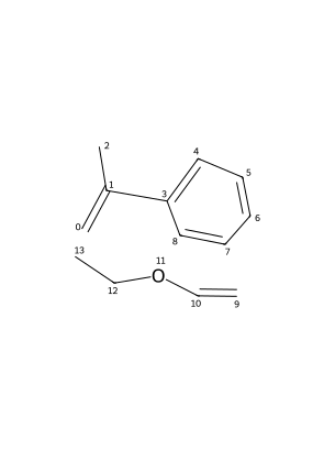 C=C(C)c1ccccc1.C=COCC